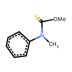 COC(=S)N(C)c1ccccc1